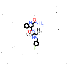 Cc1c(NC(=O)c2cc(C(N)=O)nc3ccccc23)c(C#N)nn1Cc1ccc(F)cc1